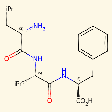 CC(C)C[C@H](N)C(=O)N[C@H](C(=O)N[C@@H](Cc1ccccc1)C(=O)O)C(C)C